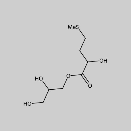 CSCCC(O)C(=O)OCC(O)CO